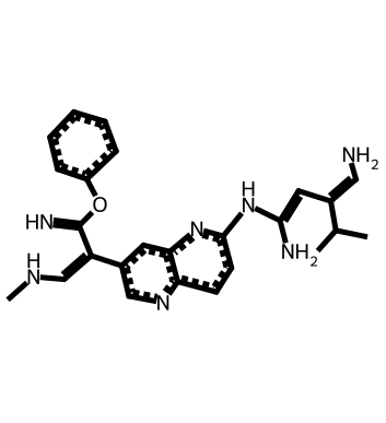 CN/C=C(\C(=N)Oc1ccccc1)c1cnc2ccc(N/C(N)=C/C(=C\N)C(C)C)nc2c1